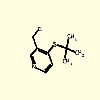 CC(C)(C)Sc1ccncc1CCl